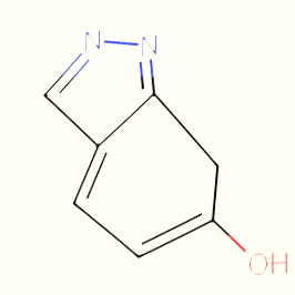 OC1=CC=C2C=NN=C2C1